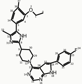 CCOc1cc(-c2[nH]c(C3CCN(c4ncnc5[nH]c(-c6ccc(F)cc6)cc45)CC3)nc2C)ccc1C